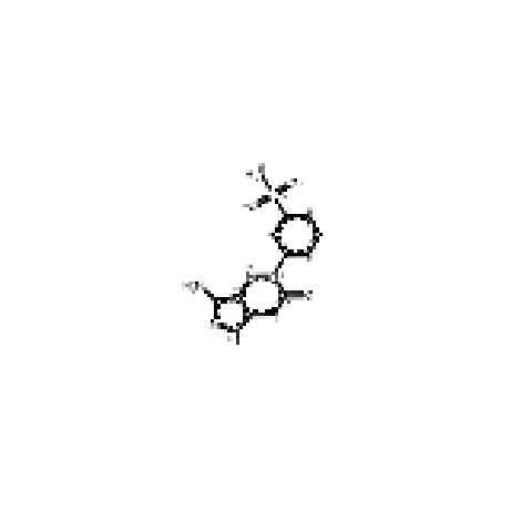 Nc1n[nH]c2cc(=O)n(-c3cccc(S(N)(=O)=O)c3)nc12